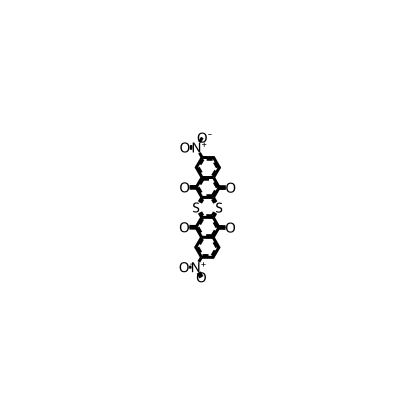 O=c1c2ccc([N+](=O)[O-])cc2c(=O)c2sc3c(=O)c4cc([N+](=O)[O-])ccc4c(=O)c3sc12